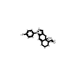 CC12Cc3cnn(-c4ccc(F)cc4)c3C=C1CCCC2C=O